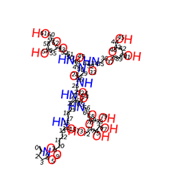 C=C1CCC(=O)N1OC(=O)CCCCC(=O)NCCCCC(NC(=O)CNC(=O)CN(CC(=O)NCCOC1CC(O)CC(CO)O1)CC(=O)NCCOC1CC(O)CC(CO)O1)C(=O)NCCO[C@H]1OC(CO)[C@@H](O)C(O)C1O